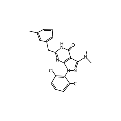 Cc1cccc(Cc2nc3c(c(N(C)C)nn3-c3c(Cl)cccc3Cl)c(=O)[nH]2)c1